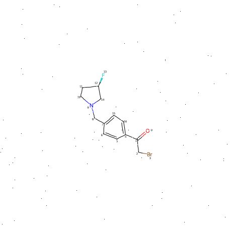 O=C(CBr)c1ccc(CN2CC[C@@H](F)C2)cc1